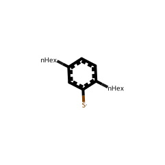 CCCCCCc1ccc(CCCCCC)c([S])c1